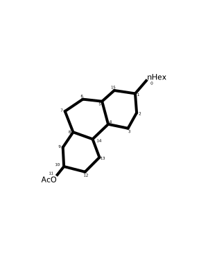 CCCCCCC1CCC2C(CCC3CC(OC(C)=O)CCC32)C1